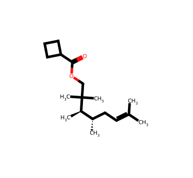 CC(C)=CC[C@H](C)[C@@H](C)C(C)(C)COC(=O)C1CCC1